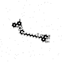 O=C(Nc1c(F)cc(F)cc1-c1ccccc1)OC1CCN(CCCCCCCCCNC[C@H](O)c2ccc(O)c3[nH]c(=O)ccc23)CC1